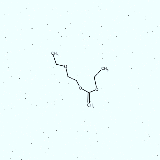 C=C(OCC)OCCOCC